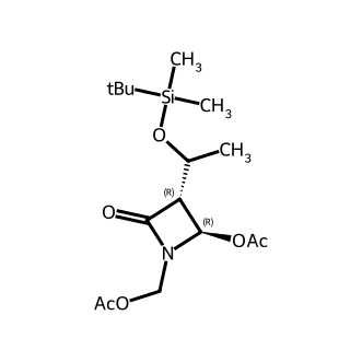 CC(=O)OCN1C(=O)[C@H](C(C)O[Si](C)(C)C(C)(C)C)[C@H]1OC(C)=O